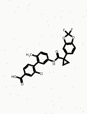 Cc1ccc(NC(=O)C2(c3ccc4c(c3)OC(F)(F)O4)CC2)cc1-c1ccc(C(=O)O)cc1Cl